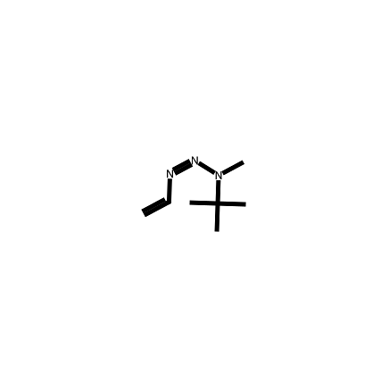 C=C/N=N\N(C)C(C)(C)C